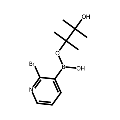 CC(C)(O)C(C)(C)OB(O)c1cccnc1Br